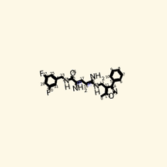 Cc1onc(-c2ccccc2)c1CN/C(N)=C/C=C(\N)C(=O)NCc1cc(F)cc(F)c1